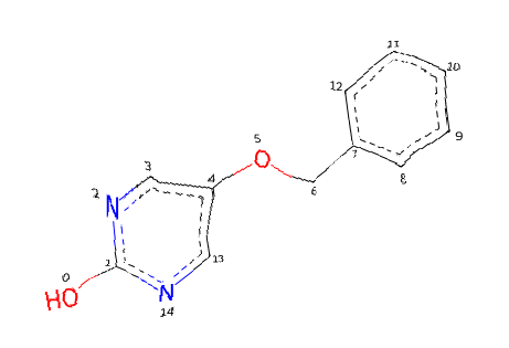 Oc1ncc(OCc2ccccc2)cn1